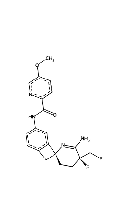 COc1ccc(C(=O)Nc2ccc3c(c2)[C@@]2(CC[C@@](F)(CF)C(N)=N2)C3)nc1